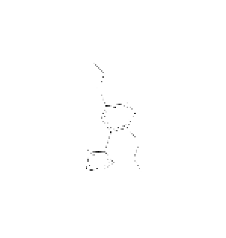 CCOc1ccc(OCC)c(-c2cs[c]n2)c1